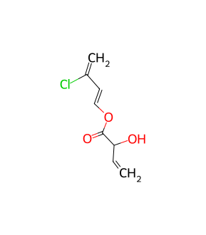 C=CC(O)C(=O)OC=CC(=C)Cl